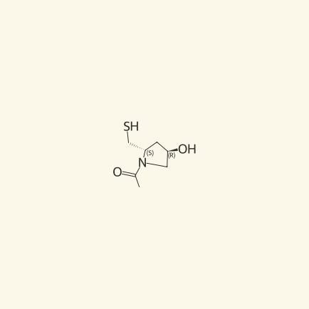 CC(=O)N1C[C@H](O)C[C@H]1CS